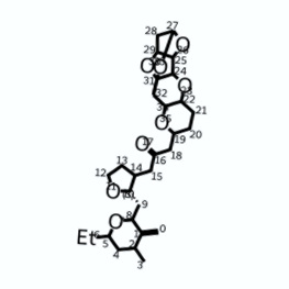 C=C1C(C)CC(CC)OC1C[C@@H]1OCCC1CC(=O)CC1CCC2OC3C4OC5CC4OC3C(O5)C2O1